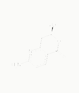 C=C1O[C@H](CC)[C@@H](C)c2nc(N)ccc21